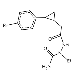 CCN(NC(=O)CC1CC1c1ccc(Br)cc1)C(N)=O